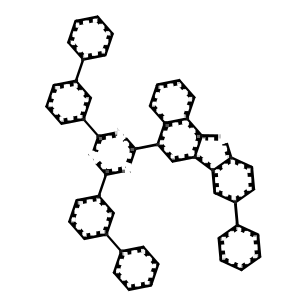 c1ccc(-c2cccc(-c3nc(-c4cccc(-c5ccccc5)c4)nc(-c4cc5c6cc(-c7ccccc7)ccc6oc5c5ccccc45)n3)c2)cc1